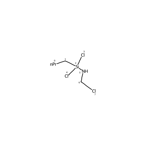 CCCC[Si](Cl)(Cl)NCCl